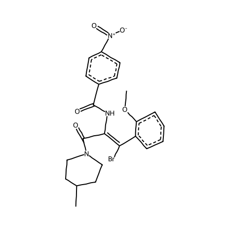 COc1ccccc1C(Br)=C(NC(=O)c1ccc([N+](=O)[O-])cc1)C(=O)N1CCC(C)CC1